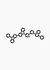 c1ccc(-c2ccc(-c3cccc(-c4cc(-n5c6ccccc6c6cc(-c7ccc8c(c7)c7ccccc7n8-c7ccccc7)ccc65)ccn4)c3)c3ccccc23)cc1